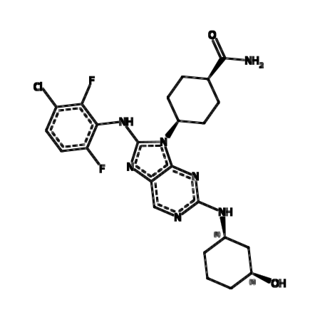 NC(=O)[C@H]1CC[C@@H](n2c(Nc3c(F)ccc(Cl)c3F)nc3cnc(N[C@@H]4CCC[C@H](O)C4)nc32)CC1